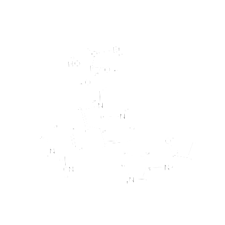 C=CC(=O)N(C)c1cncc(-c2cnc3c(c2)c(-c2ccnc(C#N)c2)cn3COP(=O)(O)OCC)c1